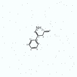 C=CCC(=CN)c1ccccc1